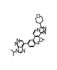 COc1c(-c2cc(-c3cnnc4c3ncn4C(C)C)ccc2F)ccn2c(C3CCOCC3)nnc12